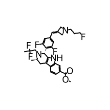 COC(=O)c1ccc2c3c([nH]c2c1)[C@@H](c1c(F)cc(C=C2CN(CCCF)C2)cc1F)N(CC(C)(F)F)[C@H](C)C3